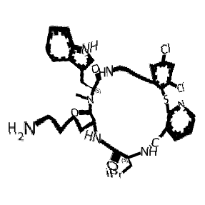 CC(C)C[C@@H]1NCc2cccnc2Sc2c(Cl)cc(Cl)cc2CNC(=O)[C@H](Cc2c[nH]c3ccccc23)N(C)C(=O)C(CCCCN)NC1=O